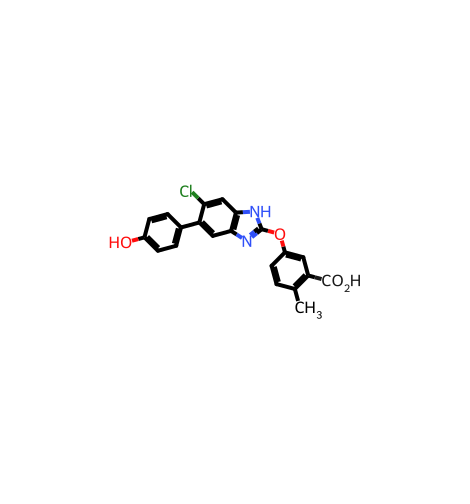 Cc1ccc(Oc2nc3cc(-c4ccc(O)cc4)c(Cl)cc3[nH]2)cc1C(=O)O